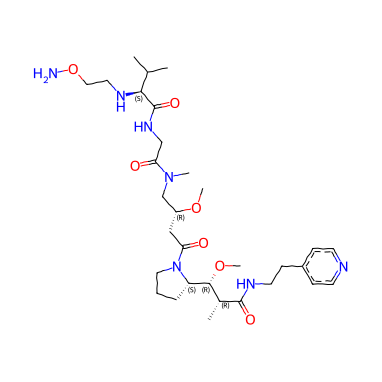 CO[C@H](CC(=O)N1CCC[C@H]1[C@H](OC)[C@@H](C)C(=O)NCCc1ccncc1)CN(C)C(=O)CNC(=O)[C@@H](NCCON)C(C)C